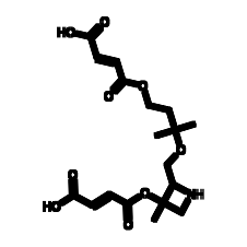 CC(C)(CCOC(=O)C=CC(=O)O)OCC1NCC1(C)OC(=O)C=CC(=O)O